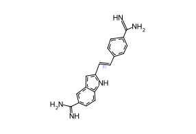 N=C(N)c1ccc(/C=C/c2cc3cc(C(=N)N)ccc3[nH]2)cc1